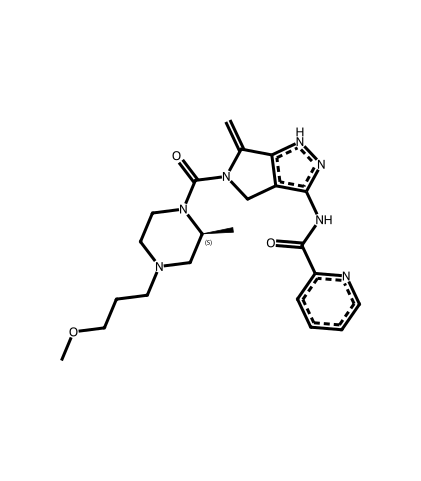 C=C1c2[nH]nc(NC(=O)c3ccccn3)c2CN1C(=O)N1CCN(CCCOC)C[C@@H]1C